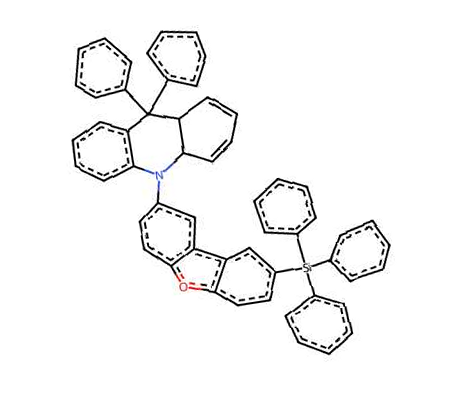 C1=CC2C(C=C1)C(c1ccccc1)(c1ccccc1)c1ccccc1N2c1ccc2oc3ccc([Si](c4ccccc4)(c4ccccc4)c4ccccc4)cc3c2c1